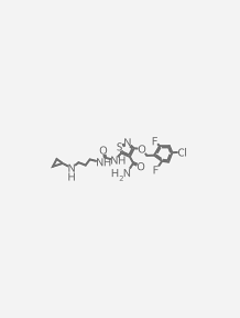 NC(=O)c1c(OCc2c(F)cc(Cl)cc2F)nsc1NC(=O)NCCCNC1CC1